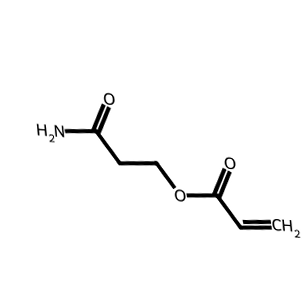 C=CC(=O)OCCC(N)=O